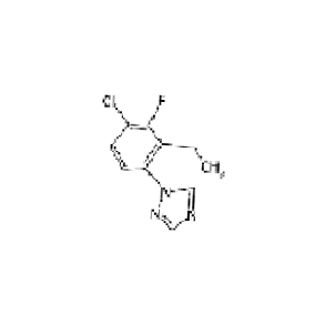 CCc1c(-n2cncn2)ccc(Cl)c1F